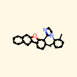 Cc1cccc(C)c1-n1ccnc1-c1c(C)ccc2c1oc1cc3ccccc3cc12